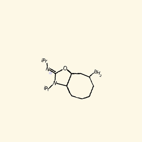 BC1CCCCC2C(C1)O/C(=N\C(C)C)N2C(C)C